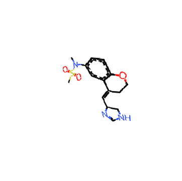 CN(c1ccc2c(c1)/C(=C/C1CNC=N1)CCO2)S(C)(=O)=O